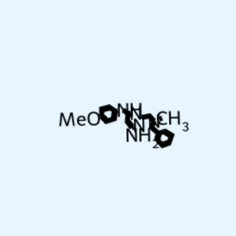 COc1ccc(Nc2cc(N)nc(CN(C)Cc3ccccc3)n2)cc1